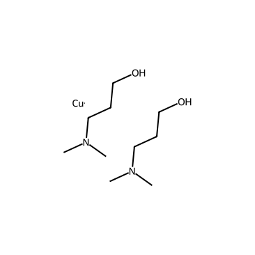 CN(C)CCCO.CN(C)CCCO.[Cu]